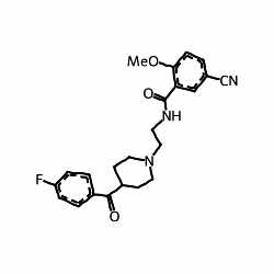 COc1ccc(C#N)cc1C(=O)NCCN1CCC(C(=O)c2ccc(F)cc2)CC1